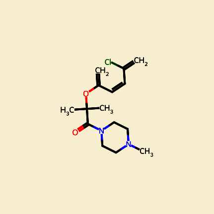 C=C(Cl)/C=C\C(=C)OC(C)(C)C(=O)N1CCN(C)CC1